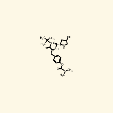 CN(C)C(=O)Oc1ccc(C[C@H](NC(=O)[C@@H]2CC(O)CN2)C(=O)OC(C)(C)C)cc1